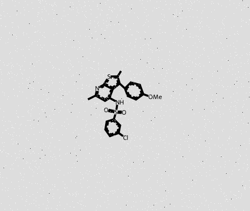 COc1ccc(-c2c(C)sc3nc(C)cc(NS(=O)(=O)c4cccc(Cl)c4)c23)cc1